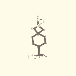 CC(=S)C1CCC2(CC1)CN(C)C2